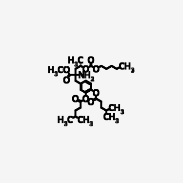 CCCCCOC(=O)O[C@@H](C)CC(N)(Cc1ccc(OC(=O)CCC(C)C)c(OC(=O)CCC(C)C)c1)C(=O)OC